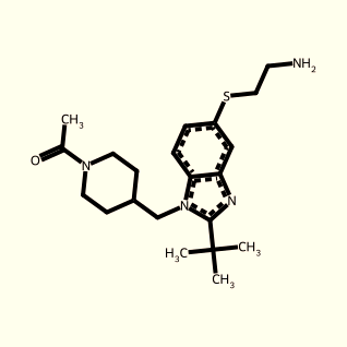 CC(=O)N1CCC(Cn2c(C(C)(C)C)nc3cc(SCCN)ccc32)CC1